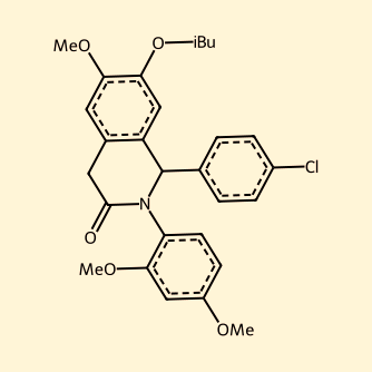 CCC(C)Oc1cc2c(cc1OC)CC(=O)N(c1ccc(OC)cc1OC)C2c1ccc(Cl)cc1